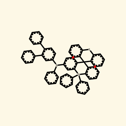 c1ccc(-c2ccc(N(c3ccccc3)c3ccc4c(c3)[Si](c3ccccc3)(c3ccccc3)c3ccccc3C43c4ccccc4Sc4ccccc43)cc2-c2ccccc2)cc1